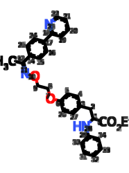 CCOC(=O)C(Cc1ccc(OCCON=C(C)c2ccc(-c3ccccn3)cc2)cc1)Nc1ccccc1